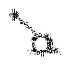 CC(C)C[C@H]1NC(=O)[C@@H](CO)NC(=O)[C@@H](NC(=O)COCCOCCOCCNC(=O)CCCC[C@H]2SC[C@H]3NC(=O)N[C@H]32)Cc2cn(nn2)CCCC[C@@H](C(N)=O)NC(=O)CNC(=O)[C@@H](Cc2ccccc2)NC(=O)[C@@H](CCCNC(=N)N)NC1=O